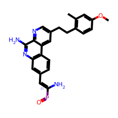 COc1ccc(CCc2cnc3c(N)nc4cc(/C=C(\N)P=O)ccc4c3c2)c(C)c1